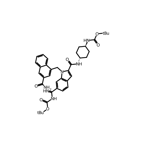 CC(C)(C)OC(=O)NC(=N)c1ccc2cc(C(=O)N[C@H]3CC[C@H](NC(=O)OC(C)(C)C)CC3)n(Cc3cc(C(N)=O)cc4ccccc34)c2c1